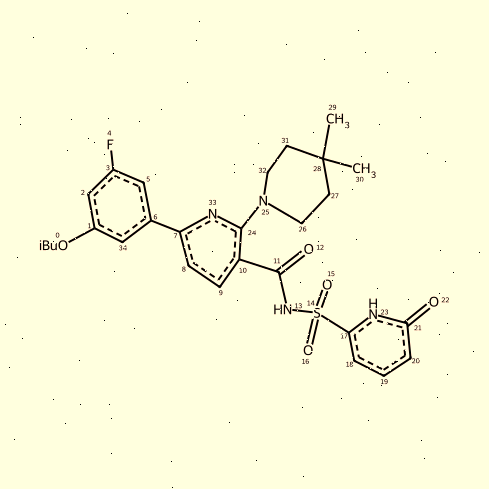 CC(C)COc1cc(F)cc(-c2ccc(C(=O)NS(=O)(=O)c3cccc(=O)[nH]3)c(N3CCC(C)(C)CC3)n2)c1